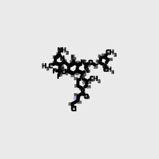 Cc1cc(N)nc(-c2c(Cl)cc3c(N4CCN(C(=O)/C=C/CCl)C[C@@H]4C)nc(OC[C@@H]4CC(C)CN4C)nc3c2F)c1C(F)(F)F